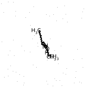 CCCCCCCCCCCc1ccc(-c2ncc(OCCC(F)CCC(C)CC)cn2)cc1